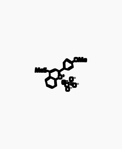 COc1ccc(-c2cc(SC)c3ccccc3[o+]2)cc1.[O-][Cl+3]([O-])([O-])[O-]